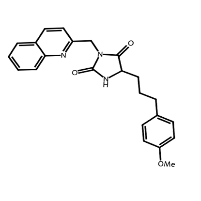 COc1ccc(CCCC2NC(=O)N(Cc3ccc4ccccc4n3)C2=O)cc1